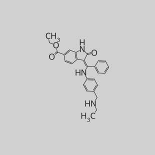 CCNCc1ccc(NC(=C2C(=O)Nc3cc(C(=O)OCC)ccc32)c2ccccc2)cc1